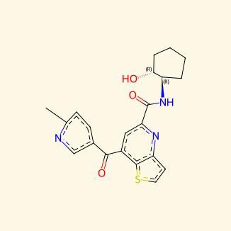 Cc1ccc(C(=O)c2cc(C(=O)N[C@@H]3CCCC[C@H]3O)nc3ccsc23)cn1